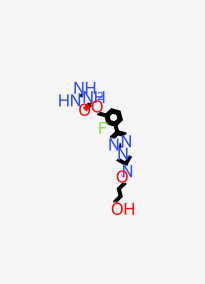 N=C(N)NC(=O)OCc1cccc(-c2cnc(N3CC(=NOCCCCO)C3)nc2)c1F